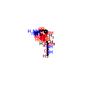 COc1cc(C(=O)CC(=O)c2nc3c(N)ncnc3n2[C@@H]2O[C@H](COP(=O)(O)OP(=O)(O)OCC(C)(C)[C@@H](O)C(=O)NCCC(=O)NCCS)[C@@H](OP(=O)(O)O)[C@H]2O)ccc1O